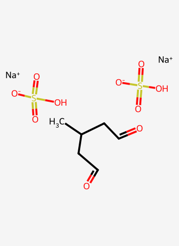 CC(CC=O)CC=O.O=S(=O)([O-])O.O=S(=O)([O-])O.[Na+].[Na+]